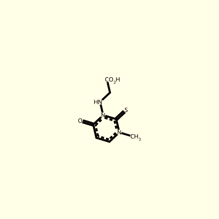 Cn1ccc(=O)n(NCC(=O)O)c1=S